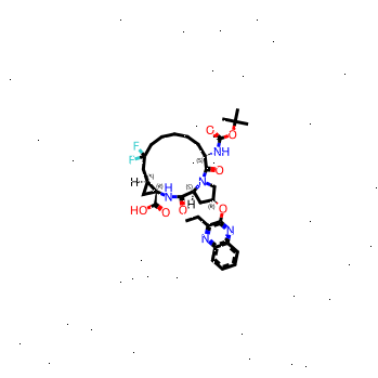 CCc1nc2ccccc2nc1O[C@@H]1C[C@H]2C(=O)N[C@]3(C(=O)O)C[C@H]3CC(F)(F)CCCCC[C@H](NC(=O)OC(C)(C)C)C(=O)N2C1